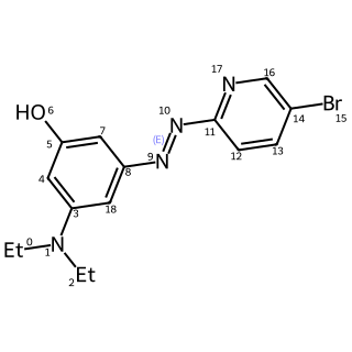 CCN(CC)c1cc(O)cc(/N=N/c2ccc(Br)cn2)c1